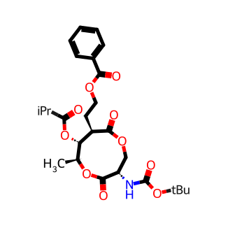 CC(C)C(=O)O[C@H]1[C@H](C)OC(=O)[C@@H](NC(=O)OC(C)(C)C)COC(=O)[C@@H]1CCOC(=O)c1ccccc1